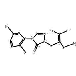 Cc1ccc(Br)nc1-n1cnn(CC(CN)=C(F)F)c1=O